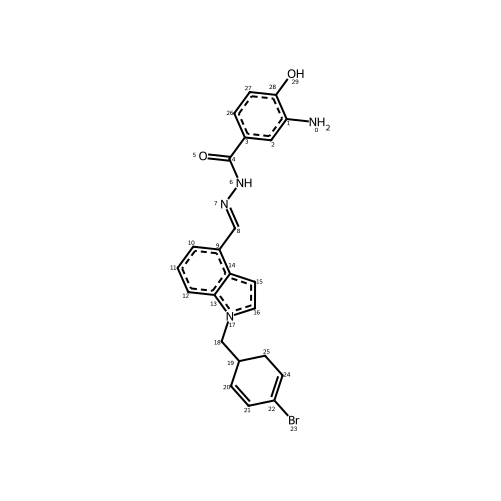 Nc1cc(C(=O)N/N=C/c2cccc3c2ccn3CC2C=CC(Br)=CC2)ccc1O